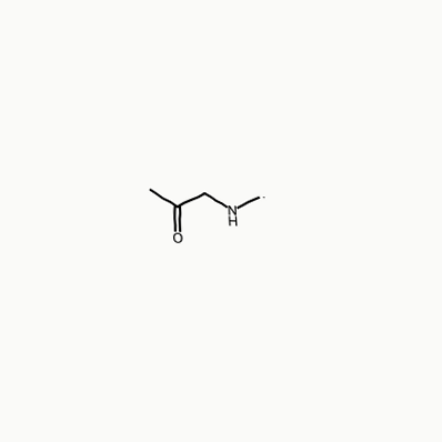 [CH2]NCC(C)=O